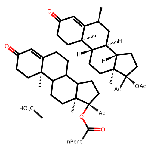 CC(=O)O.CC(=O)O[C@]1(C(C)=O)CC[C@H]2[C@@H]3C[C@H](C)C4=CC(=O)CC[C@]4(C)[C@H]3CC[C@@]21C.CCCCCC(=O)O[C@@]1(C(C)=O)CCC2C3CCC4=CC(=O)CC[C@]4(C)C3CC[C@@]21C